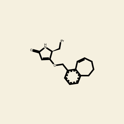 CC(C)C[C@@H]1NC(=O)C=C1OCc1cccc2c1C=CCCC2